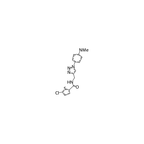 CNc1ccc(-n2cc(CNC(=O)c3ccc(Cl)s3)nn2)cc1